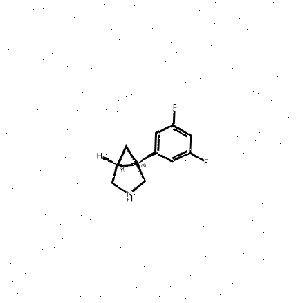 Fc1cc(F)cc([C@@]23CNC[C@@H]2C3)c1